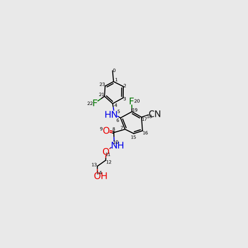 Cc1ccc(Nc2c(C(=O)NOCCO)ccc(C#N)c2F)c(F)c1